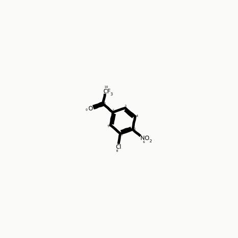 O=C(c1ccc([N+](=O)[O-])c(Cl)c1)C(F)(F)F